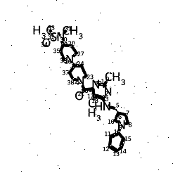 Cc1nc(NC[C@@H]2CCN(c3ccccc3)C2)c(C)c(C(=O)N2CCC(N3CCC(N(C)[S+](C)[O-])CC3)CC2)n1